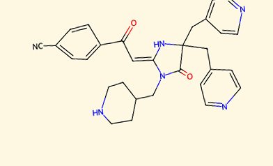 N#Cc1ccc(C(=O)/C=C2\NC(Cc3ccncc3)(Cc3ccncc3)C(=O)N2CC2CCNCC2)cc1